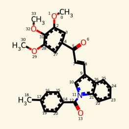 COc1cc(C(=O)C=Cc2cn(C(=O)c3ccc(C)cc3)c3ccccc23)cc(OC)c1OC